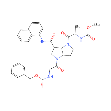 CC(C)(C)OC(=O)NC(C(=O)N1CCC2C1C(C(=O)Nc1cccc3ccccc13)CN2C(=O)CNC(=O)OCc1ccccc1)C(C)(C)C